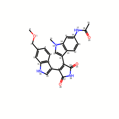 COCc1ccc2c(C3=C(c4cn(C)c5cc(NC(C)=O)ccc45)C(=O)NC3=O)c[nH]c2c1